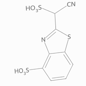 N#CC(c1nc2c(S(=O)(=O)O)cccc2s1)S(=O)(=O)O